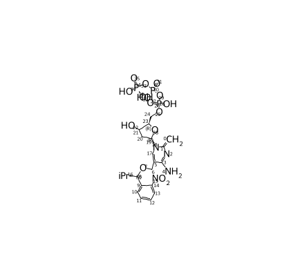 C=C1N=C(N)C(CO[C@@H](c2ccccc2[N+](=O)[O-])C(C)C)=CN1[C@H]1CC(O)[C@@H](COP(=O)(O)OP(=O)(O)OP(=O)(O)O)O1